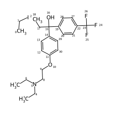 CCI.CCN(CC)CCOc1ccc(C(O)(CC)c2ccc(C(F)(F)F)cc2)cc1